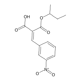 CCC(C)OC(=O)C(=Cc1cccc([N+](=O)[O-])c1)C(=O)O